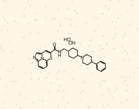 Cl.Cl.O=C(NCC1CCC(N2CCC(c3ccccc3)CC2)CC1)C1=Cc2cnc3cccc(n23)S1